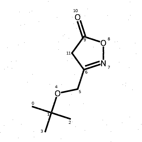 CC(C)(C)OCC1=NOC(=O)C1